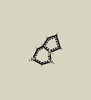 [c]1cc2cncnn2c1